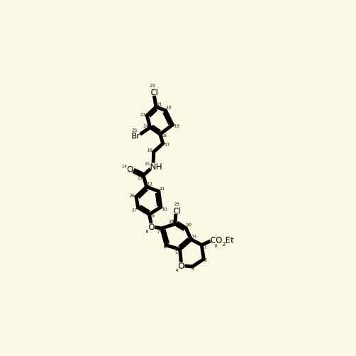 CCOC(=O)C1CCOc2cc(Oc3ccc(C(=O)NCCc4ccc(Cl)cc4Br)cc3)c(Cl)cc21